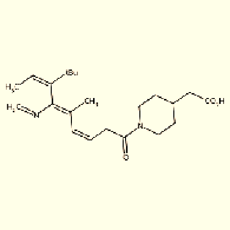 C=NC(/C(=C\C)C(C)(C)C)=C(C)\C=C/CC(=O)N1CCC(CC(=O)O)CC1